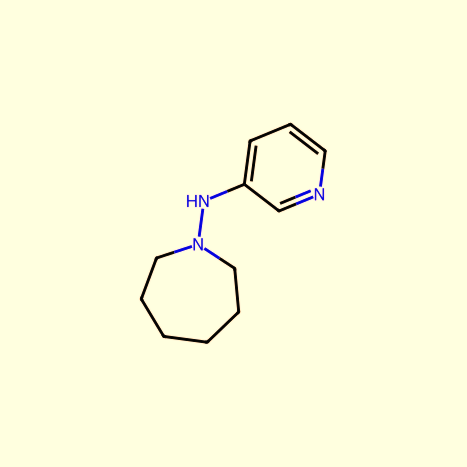 c1cncc(NN2CCCCCC2)c1